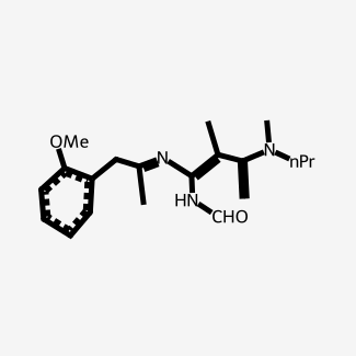 C=C(/C(C)=C(/N=C(\C)Cc1ccccc1OC)NC=O)N(C)CCC